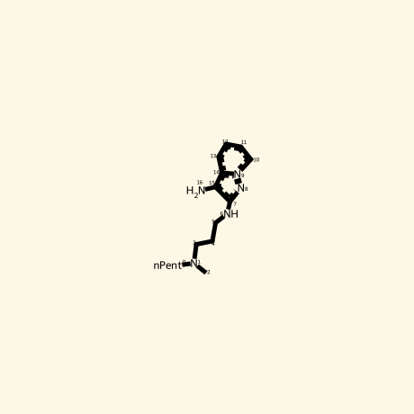 CCCCCN(C)CCCNc1nn2ccccc2c1N